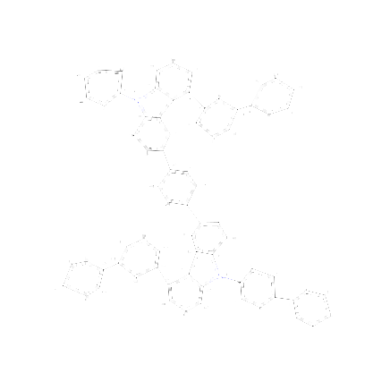 c1ccc(-c2ccc(-n3c4ccc(-c5ccc(-c6ccc7c(c6)c6c(-c8cccc(-c9ccccc9)c8)cccc6n7-c6ccccc6)cc5)cc4c4c(-c5cccc(-c6ccccc6)c5)cccc43)cc2)cc1